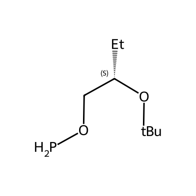 CC[C@@H](COP)OC(C)(C)C